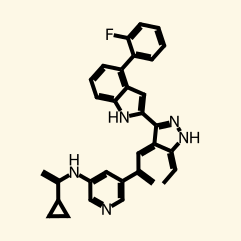 C=C(/C=c1/c(-c2cc3c(-c4ccccc4F)cccc3[nH]2)n[nH]/c1=C/C)c1cncc(NC(=C)C2CC2)c1